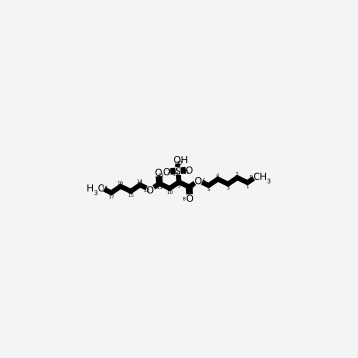 CCCCCCOC(=O)C(CC(=O)OCCCCC)S(=O)(=O)O